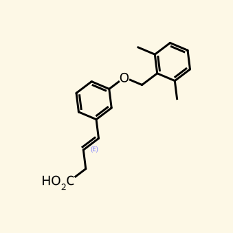 Cc1cccc(C)c1COc1cccc(/C=C/CC(=O)O)c1